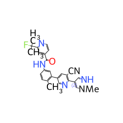 CN/C=C(\C=N)c1ncc(-c2cc(NC(=O)c3ccnc(C(C)(C)F)c3)ccc2C)cc1C#N